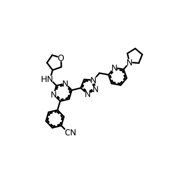 N#Cc1cccc(-c2cc(-c3cn(Cc4cccc(N5CCCC5)n4)nn3)nc(NC3CCOC3)n2)c1